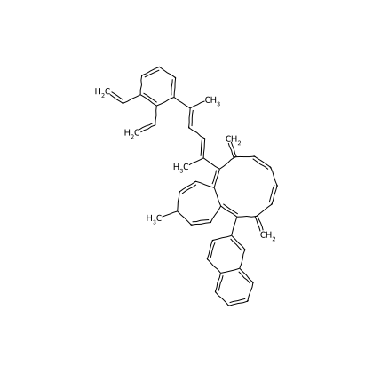 C=Cc1cccc(/C(C)=C/C=C(\C)c2c3c(c(-c4ccc5ccccc5c4)c(=C)ccccc2=C)C=CC(C)C=C3)c1C=C